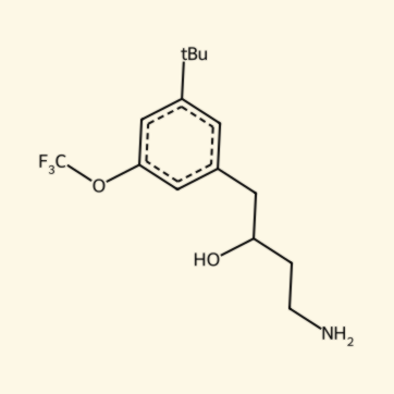 CC(C)(C)c1cc(CC(O)CCN)cc(OC(F)(F)F)c1